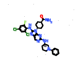 NC(=O)[C@H]1CC[C@H](n2c(Nc3c(F)cc(Cl)cc3Cl)nc3cnc(N[C@@H]4CCCN(c5ccccc5)C4)nc32)CC1